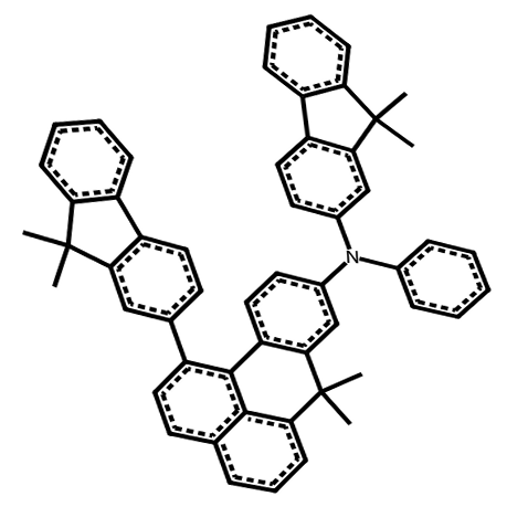 CC1(C)c2ccccc2-c2ccc(-c3ccc4cccc5c4c3-c3ccc(N(c4ccccc4)c4ccc6c(c4)C(C)(C)c4ccccc4-6)cc3C5(C)C)cc21